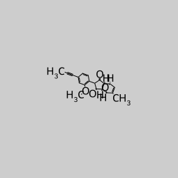 CC#Cc1ccc(C2C(=O)[C@@H]3[C@H](C2=O)[C@H]2C=C(C)[C@@H]3O2)c(OC)c1